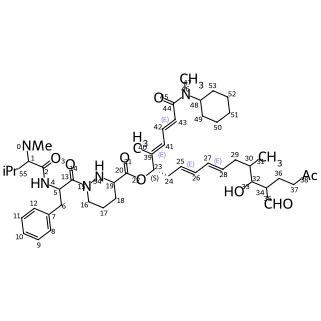 CNC(C(=O)NC(Cc1ccccc1)C(=O)N1CCCC(C(=O)O[C@@H](C/C=C/C=C/CC(C)C(O)C(C=O)CCC(C)=O)/C(C)=C/C=C/C(=O)N(C)C2CCCCC2)N1)C(C)C